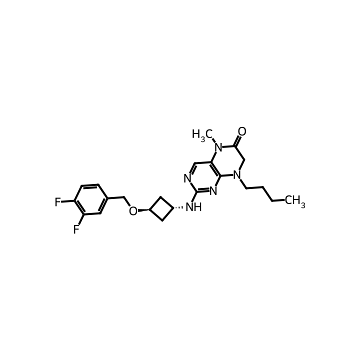 CCCCN1CC(=O)N(C)c2cnc(N[C@H]3C[C@H](OCc4ccc(F)c(F)c4)C3)nc21